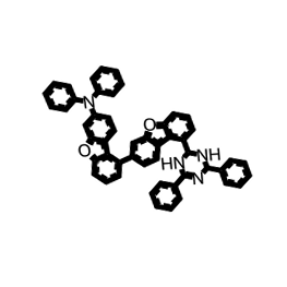 c1ccc(C2=NC(c3ccccc3)NC(c3cccc4oc5cc(-c6cccc7oc8cc(N(c9ccccc9)c9ccccc9)ccc8c67)ccc5c34)N2)cc1